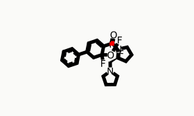 O=C(C1=CC=C(c2ccccc2)CC1(F)OC(F)(F)F)N1CCC[C@H]1CN1CCCC1